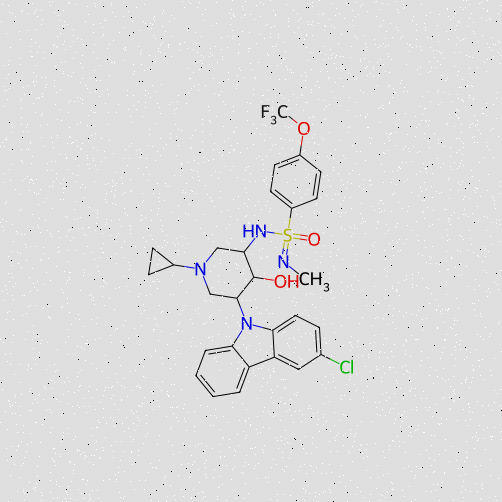 CN=S(=O)(NC1CN(C2CC2)CC(n2c3ccccc3c3cc(Cl)ccc32)C1O)c1ccc(OC(F)(F)F)cc1